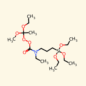 CCOC(C)(OC)OOC(=O)N(CC)CCC[Si](OCC)(OCC)OCC